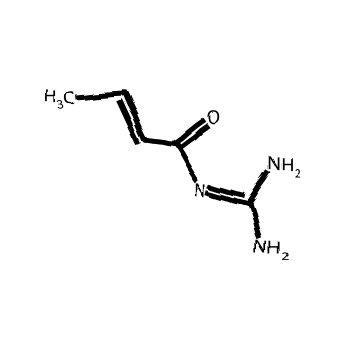 C/C=C/C(=O)N=C(N)N